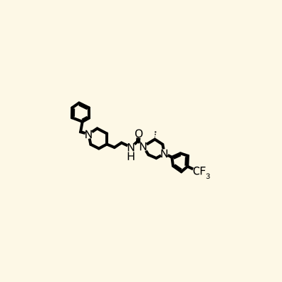 C[C@@H]1CN(c2ccc(C(F)(F)F)cc2)CCN1C(=O)NCCC1CCN(Cc2ccccc2)CC1